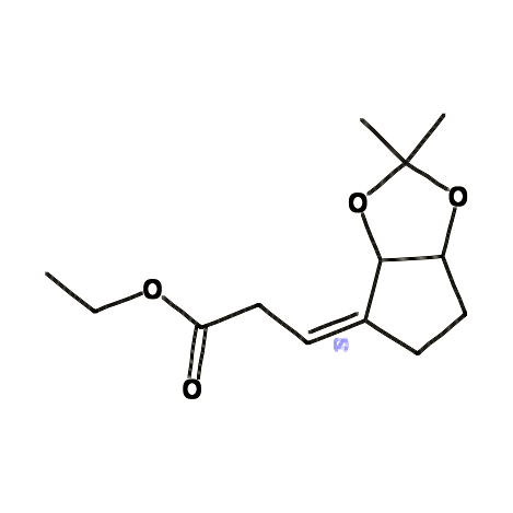 CCOC(=O)C/C=C1/CCC2OC(C)(C)OC12